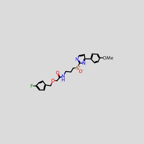 COc1ccc(-c2ccnc([S+]([O-])CCCNC(=O)COCc3ccc(F)cc3)n2)cc1